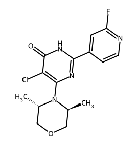 C[C@H]1COC[C@H](C)N1c1nc(-c2ccnc(F)c2)[nH]c(=O)c1Cl